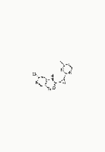 Cc1ccnc(C2CC2C(=O)Nc2cc(Cl)ncc2Br)n1